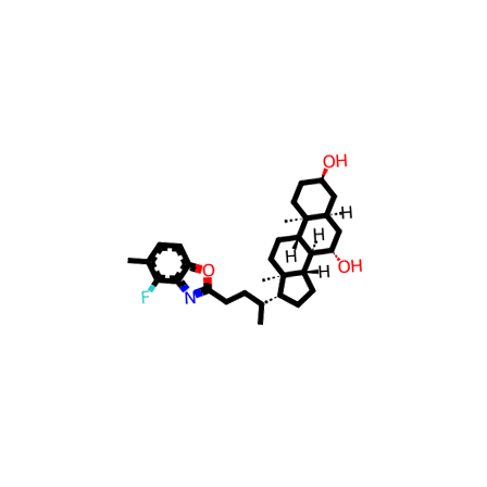 Cc1ccc2oc(CCC(C)[C@H]3CC[C@H]4[C@@H]5[C@@H](O)C[C@@H]6C[C@H](O)CC[C@]6(C)[C@H]5CC[C@]34C)nc2c1F